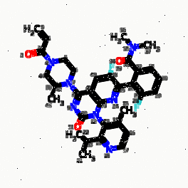 C=CC(=O)N1CCN(c2nc(=O)n(-c3c(C)ccnc3C(C)C)c3nc(-c4c(F)cccc4C(=O)N(C)C)c(F)cc23)[C@@H](C)C1